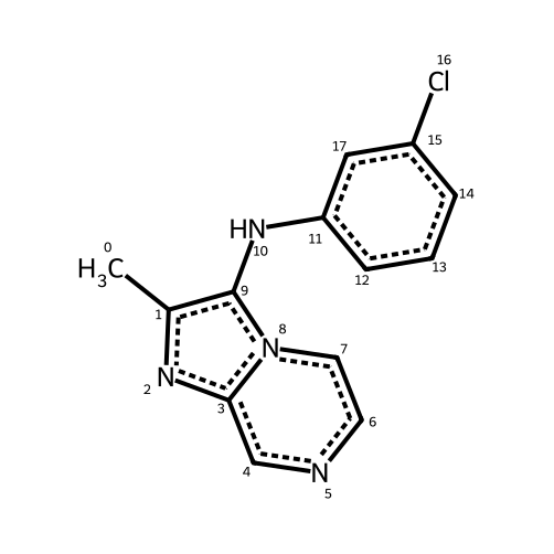 Cc1nc2cnccn2c1Nc1cccc(Cl)c1